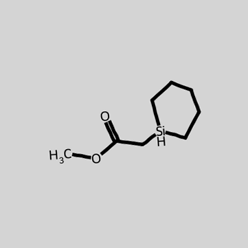 COC(=O)C[SiH]1CCCCC1